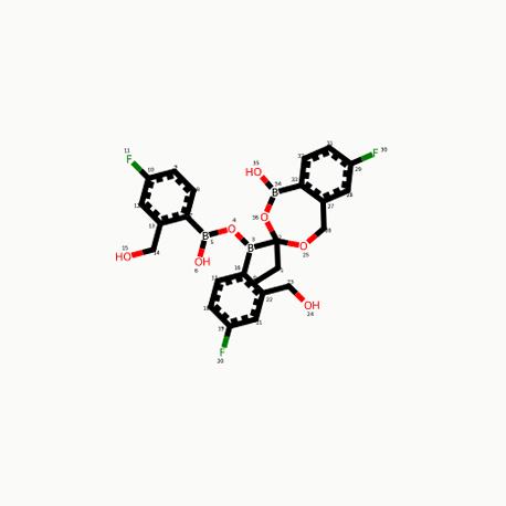 CCC1(B(OB(O)c2ccc(F)cc2CO)c2ccc(F)cc2CO)OCc2cc(F)ccc2B(O)O1